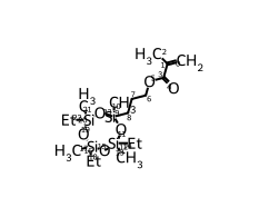 C=C(C)C(=O)OCCC[Si]1(C)O[Si](C)(CC)O[Si](C)(CC)O[Si](C)(CC)O1